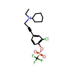 CCN(CC#Cc1ccc(OS(=O)(=O)C(F)(F)F)c(Cl)c1)C1CCCCC1